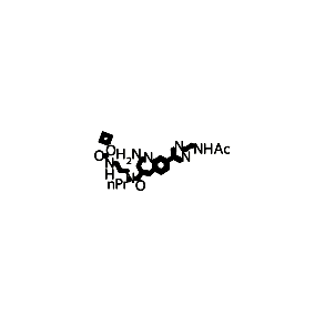 CCCN(CCCNC(=O)OC1CCC1)C(=O)C1=Cc2ccc(-c3cnc(CNC(C)=O)nc3)cc2N=C(N)C1